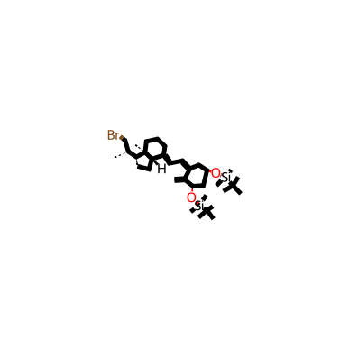 C=C1/C(=C\C=C2/CCC[C@]3(C)[C@@H]([C@H](C)CBr)CC[C@@H]23)C[C@@H](O[Si](C)(C)C(C)(C)C)C[C@@H]1O[Si](C)(C)C(C)(C)C